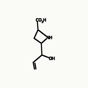 C=CC(O)C1CC(C(=O)O)N1